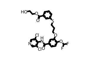 O=C(Nc1c(Cl)cncc1Cl)c1ccc(OC(F)F)c(OCCCSc2cccc(C(=O)OCCO)c2)c1